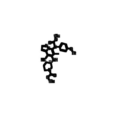 CCOc1ccc(N(C(=O)OC(C)(C)C)c2c(C)c(N[C@H]3CCCN(C(=O)OC(C)(C)C)C3)c(C#N)c3ccnn23)cc1